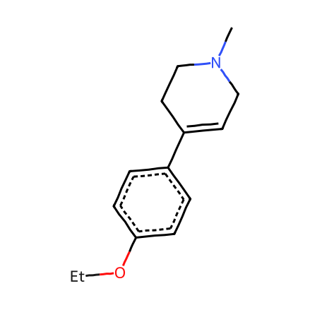 CCOc1ccc(C2=CCN(C)CC2)cc1